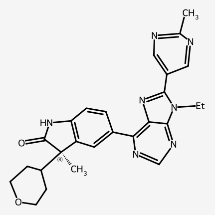 CCn1c(-c2cnc(C)nc2)nc2c(-c3ccc4c(c3)[C@@](C)(C3CCOCC3)C(=O)N4)ncnc21